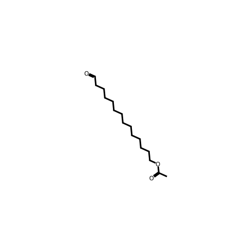 CC(=O)OCCCCCCCCCCCCCC=O